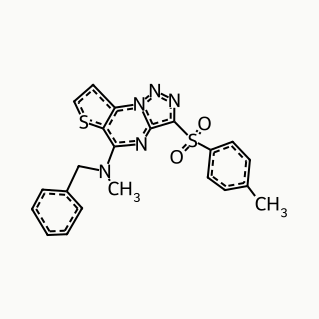 Cc1ccc(S(=O)(=O)c2nnn3c2nc(N(C)Cc2ccccc2)c2sccc23)cc1